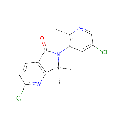 Cc1ncc(Cl)cc1N1C(=O)c2ccc(Cl)nc2C1(C)C